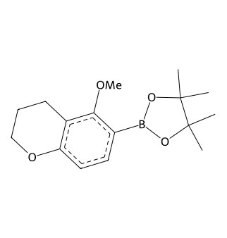 COc1c(B2OC(C)(C)C(C)(C)O2)ccc2c1CCCO2